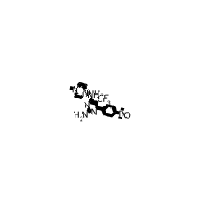 CN1CCN(Nc2nc(N)nc(-c3ccc(P(C)(C)=O)cc3)c2C(F)(F)F)CC1